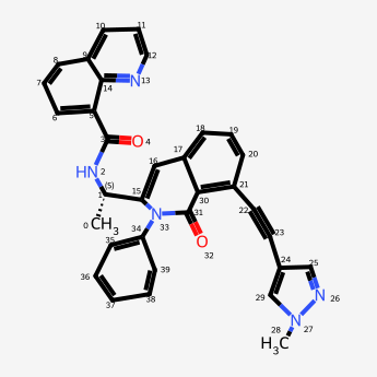 C[C@H](NC(=O)c1cccc2cccnc12)c1cc2cccc(C#Cc3cnn(C)c3)c2c(=O)n1-c1ccccc1